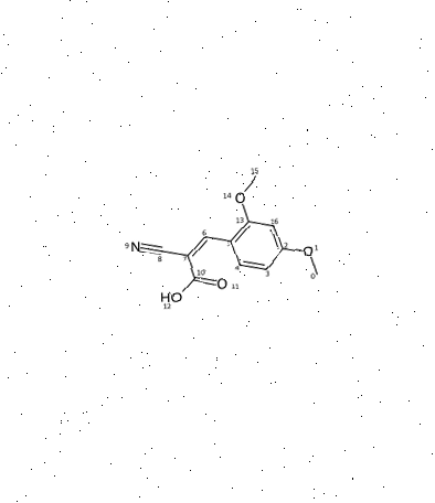 COc1ccc(C=C(C#N)C(=O)O)c(OC)c1